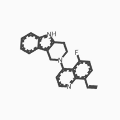 C=Cc1ccc(F)c2c(N3CCc4[nH]c5ccccc5c4C3)ccnc12